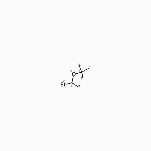 CCC(C)OC(C)(C)C